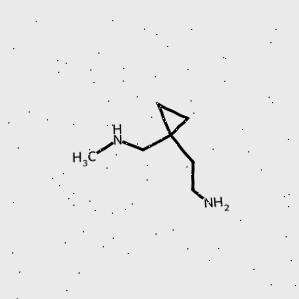 CNCC1(CCN)CC1